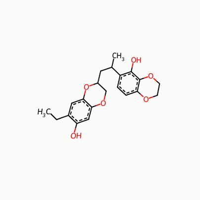 CCc1cc2c(cc1O)OCC(CC(C)c1ccc3c(c1O)OCCO3)O2